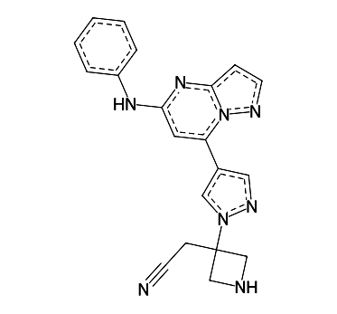 N#CCC1(n2cc(-c3cc(Nc4ccccc4)nc4ccnn34)cn2)CNC1